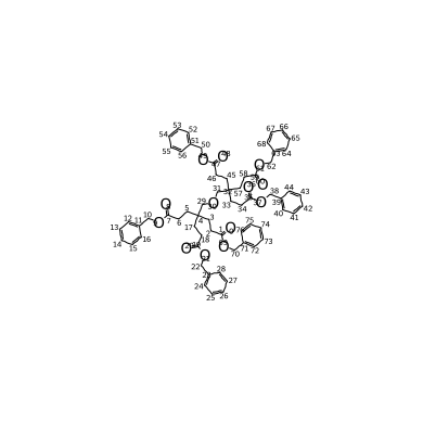 O=C(CCC(CCC(=O)OCc1ccccc1)(CCC(=O)OCc1ccccc1)COCC(CCC(=O)OCc1ccccc1)(CCC(=O)OCc1ccccc1)CCC(=O)OCc1ccccc1)OCc1ccccc1